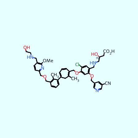 COc1nc(COCc2cccc(C3=CC=CC(COc4cc(OCc5cncc(C#N)c5)c(CNC[C@@H](O)CC(=O)O)cc4Cl)=C(C)C3)c2C)ccc1CNCCO